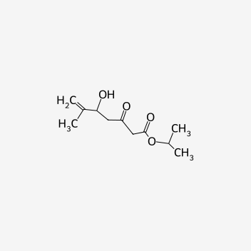 C=C(C)C(O)CC(=O)CC(=O)OC(C)C